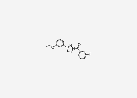 CCOc1cccc(C2=NN(C(=O)c3cccc(F)c3)CC2)c1